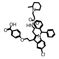 CC1CCCCN1CCS(=O)(=O)NCCc1c(CCOc2ccc(C(=O)O)cc2)c2cc(Cl)ccc2n1C(c1ccccc1)c1ccccc1